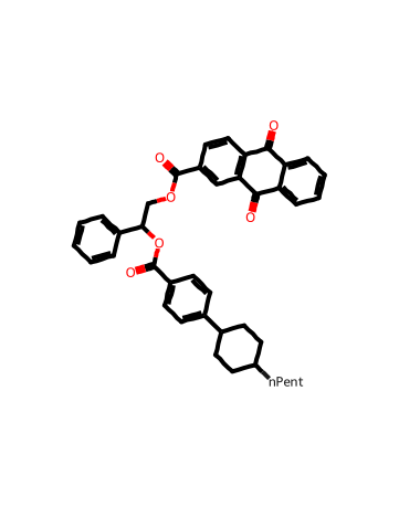 CCCCCC1CCC(c2ccc(C(=O)OC(COC(=O)c3ccc4c(c3)C(=O)c3ccccc3C4=O)c3ccccc3)cc2)CC1